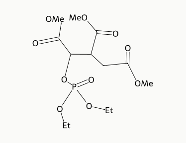 CCOP(=O)(OCC)OC(C(=O)OC)C(CC(=O)OC)C(=O)OC